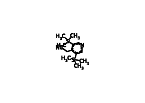 C[Si](C)(C)c1cncc([Si](C)(C)C)c1CC#N